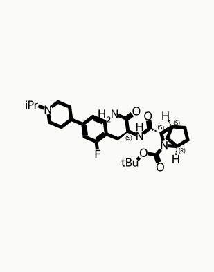 CC(C)N1CCC(c2ccc(C[C@H](NC(=O)[C@@H]3[C@H]4CC[C@H](C4)N3C(=O)OC(C)(C)C)C(N)=O)c(F)c2)CC1